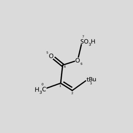 CC(=CC(C)(C)C)C(=O)OS(=O)(=O)O